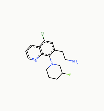 NCCc1cc(Cl)c2cccnc2c1N1CCCC(F)C1